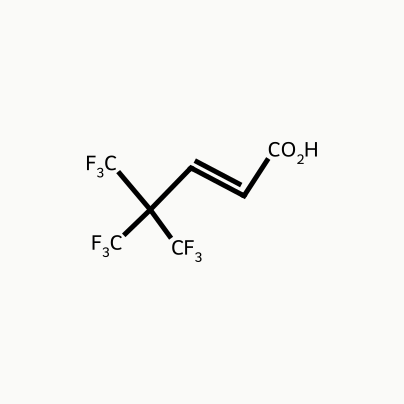 O=C(O)C=CC(C(F)(F)F)(C(F)(F)F)C(F)(F)F